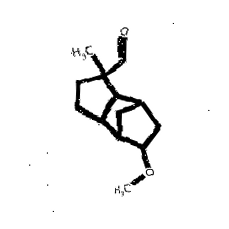 COC1CC2CC1C1CCC(C)(C=O)C21